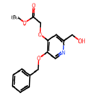 CC(C)(C)OC(=O)COc1cc(CO)ncc1OCc1ccccc1